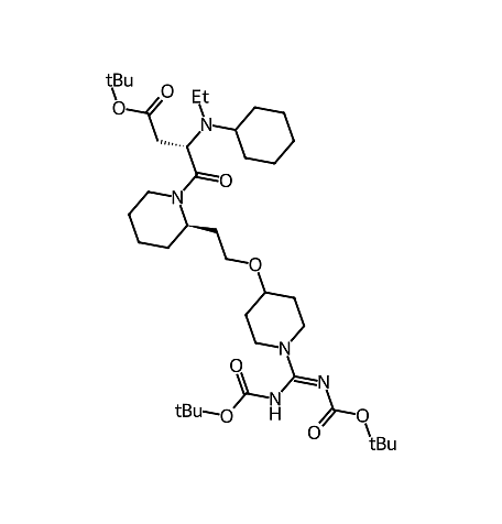 CCN(C1CCCCC1)[C@@H](CC(=O)OC(C)(C)C)C(=O)N1CCCC[C@@H]1CCOC1CCN(C(=NC(=O)OC(C)(C)C)NC(=O)OC(C)(C)C)CC1